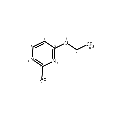 CC(=O)c1nccc(OCC(F)(F)F)n1